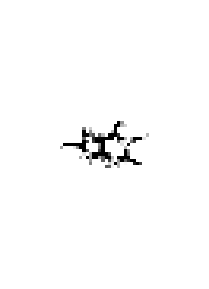 Cc1nc2nc(C)n(C)c(C)c-2n1